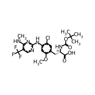 CNc1nc(Nc2cc(OC)c(C[C@H](NC(=O)OC(C)(C)C)C(=O)O)cc2Cl)ncc1C(F)(F)F